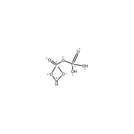 O=P(O)(O)OP1(=O)ONO1